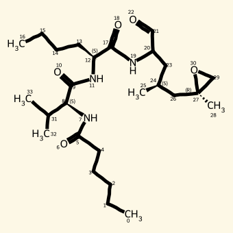 CCCCCC(=O)N[C@H](C(=O)N[C@@H](CCCC)C(=O)NC(C=O)C[C@H](C)C[C@]1(C)CO1)C(C)C